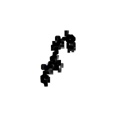 Cc1ccc(CNC(=O)/C(N)=C/N(N)CC(F)CCc2nnc(C(=O)NCc3cc(OC(F)(F)F)ccc3F)s2)cn1